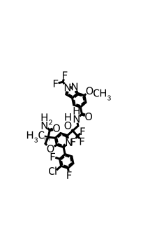 COc1cc(C(=O)NCC(O)(c2cc3c(c(-c4ccc(F)c(Cl)c4F)n2)OC[C@]3(C)C(N)=O)C(F)(F)F)cc2cn(C(F)F)nc12